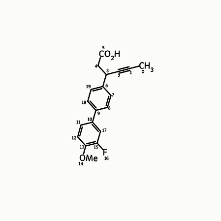 CC#CC(CC(=O)O)c1ccc(-c2ccc(OC)c(F)c2)cc1